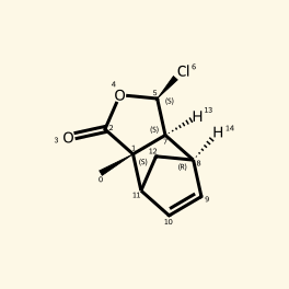 C[C@@]12C(=O)O[C@@H](Cl)[C@H]1[C@H]1C=CC2C1